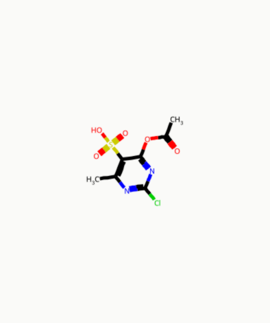 CC(=O)Oc1nc(Cl)nc(C)c1S(=O)(=O)O